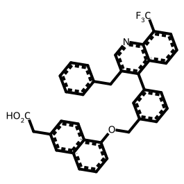 O=C(O)Cc1ccc2c(OCc3cccc(-c4c(Cc5ccccc5)cnc5c(C(F)(F)F)cccc45)c3)cccc2c1